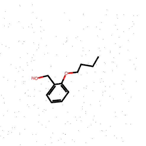 CCCCOc1ccccc1CO